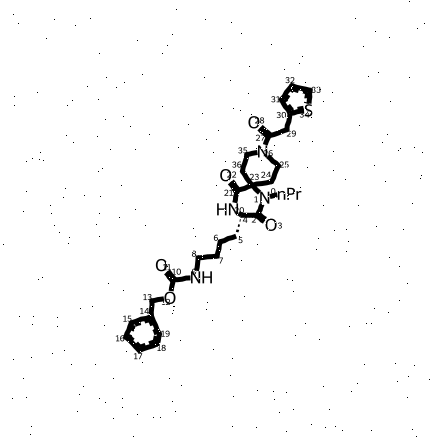 CCCN1C(=O)[C@H](CCCCNC(=O)OCc2ccccc2)NC(=O)C12CCN(C(=O)Cc1cccs1)CC2